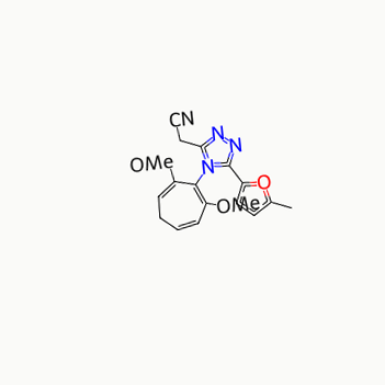 COC1=CCC=CC(OC)=C1n1c(CC#N)nnc1-c1ccc(C)o1